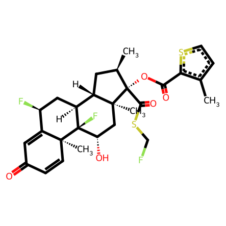 Cc1ccsc1C(=O)O[C@@]1(C(=O)SCF)[C@H](C)C[C@H]2[C@@H]3C[C@H](F)C4=CC(=O)C=C[C@]4(C)[C@@]3(F)[C@@H](O)C[C@@]21C